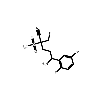 CS(=O)(=O)C(C#N)(CF)CCC(N)c1cc(Br)ccc1F